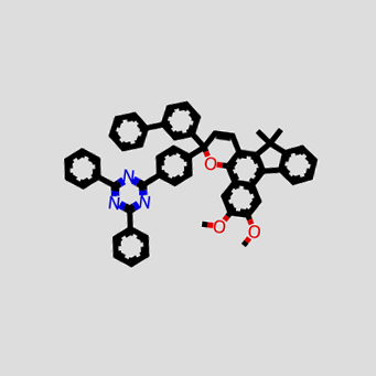 COc1cc2c3c(c4c(c2cc1OC)-c1ccccc1C4(C)C)C=CC(c1ccc(-c2nc(-c4ccccc4)nc(-c4ccccc4)n2)cc1)(c1cccc(-c2ccccc2)c1)O3